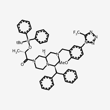 COc1ccc(-n2nnnc2C(F)(F)F)cc1CN1C[C@@H]2CN(C(=O)[C@H](C)O[Si](c3ccccc3)(c3ccccc3)C(C)(C)C)CCN2[C@H](C(c2ccccc2)c2ccccc2)C1